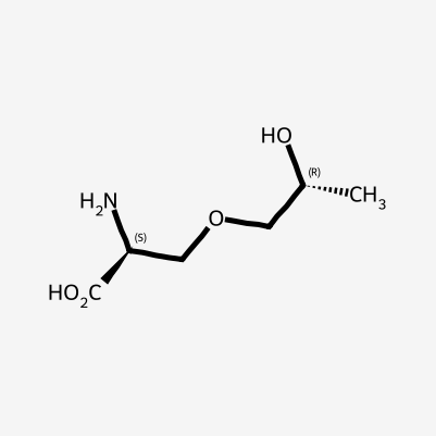 C[C@@H](O)COC[C@H](N)C(=O)O